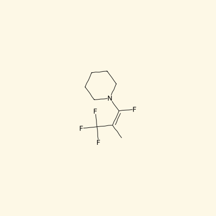 CC(=C(F)N1CCCCC1)C(F)(F)F